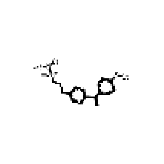 C=C(c1ccc(CCC[Si](C)(C)N(CC)CC)cc1)c1ccc(SCC)cc1